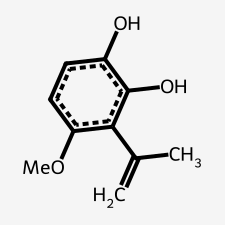 C=C(C)c1c(OC)ccc(O)c1O